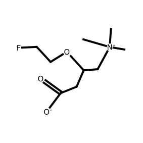 C[N+](C)(C)CC(CC(=O)[O-])OCCF